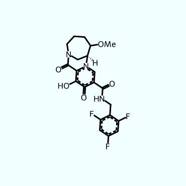 COC1CCCN2C[C@@H]1n1cc(C(=O)NCc3c(F)cc(F)cc3F)c(=O)c(O)c1C2=O